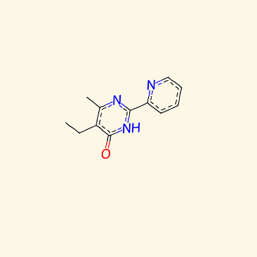 CCc1c(C)nc(-c2ccccn2)[nH]c1=O